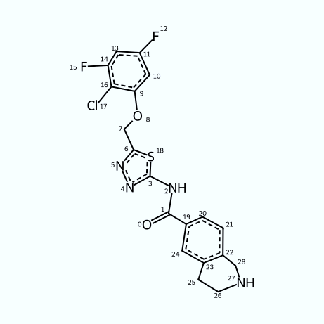 O=C(Nc1nnc(COc2cc(F)cc(F)c2Cl)s1)c1ccc2c(c1)CCNC2